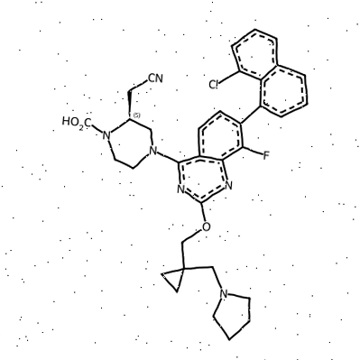 N#CC[C@H]1CN(c2nc(OCC3(CN4CCCC4)CC3)nc3c(F)c(-c4cccc5cccc(Cl)c45)ccc23)CCN1C(=O)O